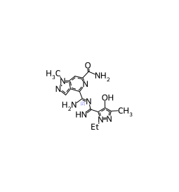 CCn1nc(C)c(O)c1C(=N)/N=C(\N)c1nc(C(N)=O)cc2c1cnn2C